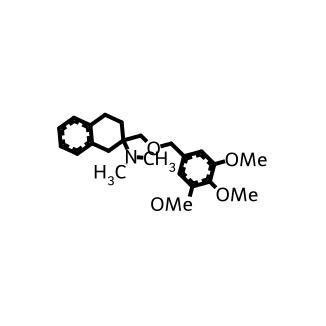 COc1cc(COCC2(N(C)C)CCc3ccccc3C2)cc(OC)c1OC